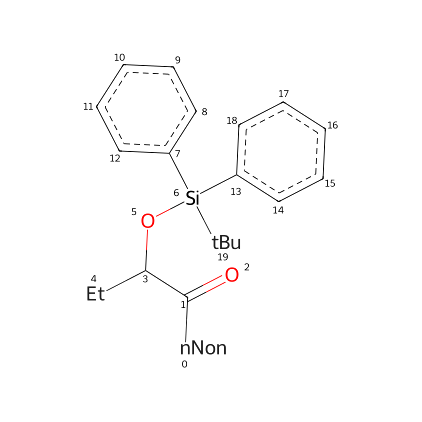 CCCCCCCCCC(=O)C(CC)O[Si](c1ccccc1)(c1ccccc1)C(C)(C)C